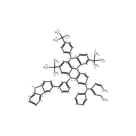 C/C=C\C(=C/CC)N(c1ccccc1)c1ccc2c(c1)N(c1cccc(-c3ccc4oc5ccccc5c4c3)c1)c1cc(C(C)(C)C)cc3c1B2c1cc(C(C)(C)C)ccc1N3c1ccc(C(C)(C)C)cc1